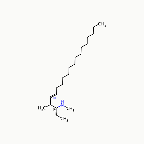 CCCCCCCCCCCCCC/C=C/C(C)[C@H](CC)NC